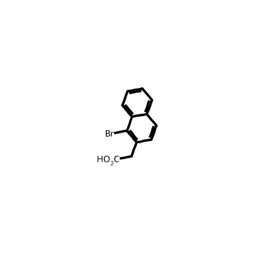 O=C(O)Cc1ccc2ccccc2c1Br